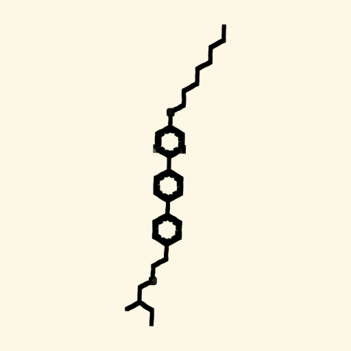 CCCCCCCCOc1cnc(-c2ccc(-c3ccc(CCOCC(C)CC)cc3)cc2)nc1